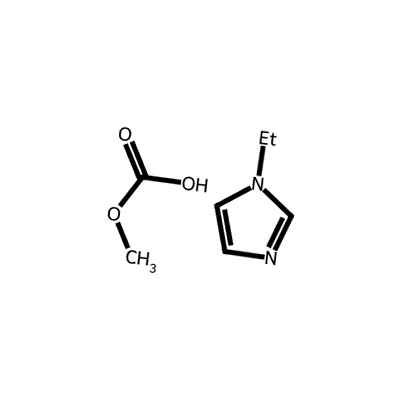 CCn1ccnc1.COC(=O)O